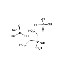 O=C(O)CC(O)(CC(=O)O)C(=O)O.O=P(O)(O)O.[Na+].[O-]B(O)O